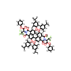 Cc1cc(C(C)C)ccc1Oc1cc2c3c(cc(Oc4ccc(C(C)C)cc4C)c4c5c(Oc6ccc(C(C)C)cc6C)cc6c7c(cc(Oc8ccc(C(C)C)cc8C)c(c1c34)c75)C(=O)N(C(C(=O)Oc1ccccc1)C(F)(F)F)C6=O)C(=O)N(C(C(=O)Oc1ccccc1)C(F)(F)F)C2=O